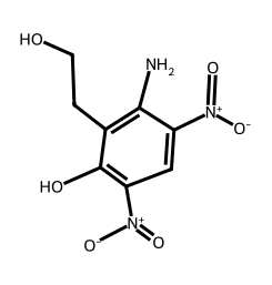 Nc1c([N+](=O)[O-])cc([N+](=O)[O-])c(O)c1CCO